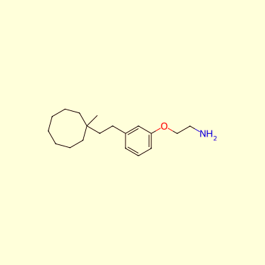 CC1(CCc2cccc(OCCN)c2)CCCCCCC1